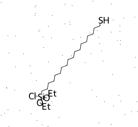 CCO[Si](Cl)(CCCCCCCCCCCCCCCCCCS)OCC